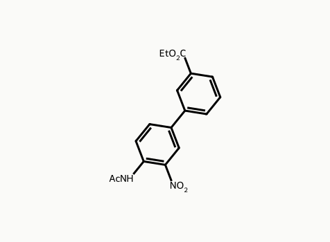 CCOC(=O)c1cccc(-c2ccc(NC(C)=O)c([N+](=O)[O-])c2)c1